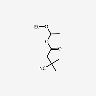 CCOC(C)OC(=O)CC(C)(C)C#N